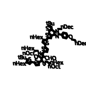 CCCCCCCCCCCCOc1ccc(C2=NC3c4cc(-c5sc(-c6ccc(C7=C(C=O)/C(=C(/c8ccc(-c9cc(CCCCCC)c(C(C)(C)C)s9)s8)N(C)CC(CCCCCC)CCCCCCCC)C(=O)N7CC(CCCCCC)CCCCCCCC)s6)cc5CCCCCC)sc4-c4sc(C(C)(C)C)cc4C3N2CCCCCCCCCCCC)cc1